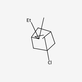 CCC1(C)C=C2C3CC1CC2(Cl)C3